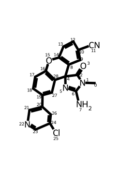 CN1C(=O)C2(N=C1N)c1cc(C#N)ccc1Oc1ccc(-c3cncc(Cl)c3)cc12